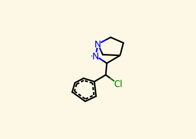 ClC(c1ccccc1)C1[N]N2CCC1C2